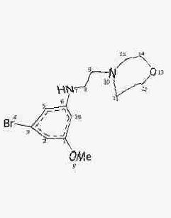 COc1cc(Br)cc(NCCN2CCOCC2)c1